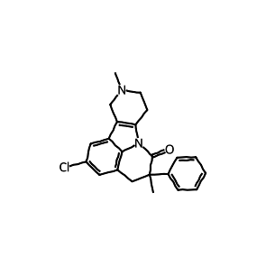 CN1CCc2c(c3cc(Cl)cc4c3n2C(=O)C(C)(c2ccccc2)C4)C1